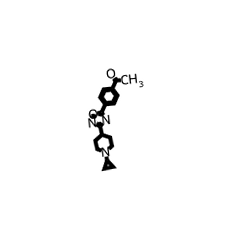 CC(=O)c1ccc(-c2nc(C3CCN(C4CC4)CC3)no2)cc1